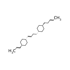 CC=CCC[C@H]1CC[C@H](CCC=C[C@H]2CC[C@H](C=CC)CC2)CC1